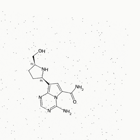 NC(=O)c1cc([C@H]2CC[C@@H](CO)N2)c2ncnc(N)n12